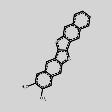 Cc1cc2cc3sc4c5cc6ccccc6cc5sc4c3cc2cc1C